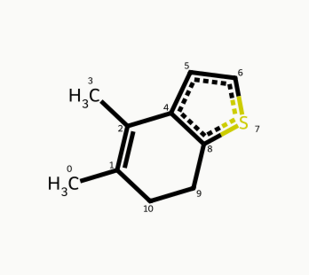 CC1=C(C)c2ccsc2CC1